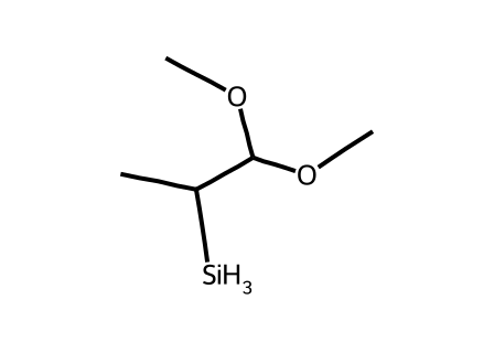 COC(OC)C(C)[SiH3]